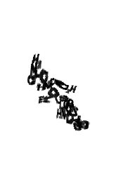 CCc1cc(C(Nc2cccc(C(N)=O)c2)C(=O)O)ccc1CCCC(=O)Nc1ccc(S(=O)(=O)I)c(CN(C)C(=O)OC(C)(C)C)c1